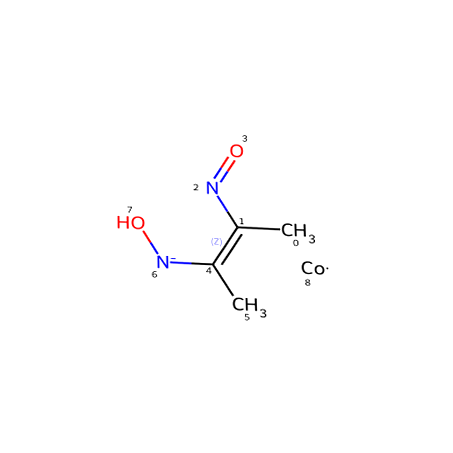 C/C(N=O)=C(\C)[N-]O.[Co]